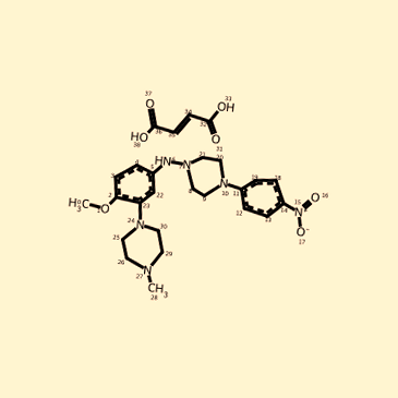 COc1ccc(NN2CCN(c3ccc([N+](=O)[O-])cc3)CC2)cc1N1CCN(C)CC1.O=C(O)C=CC(=O)O